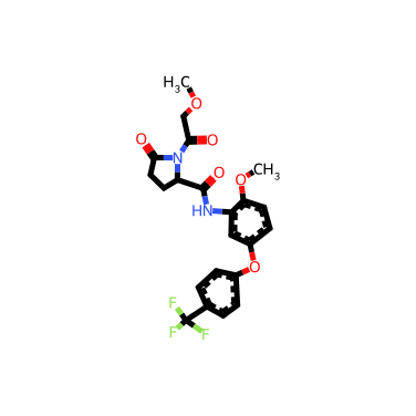 COCC(=O)N1C(=O)CCC1C(=O)Nc1cc(Oc2ccc(C(F)(F)F)cc2)ccc1OC